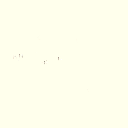 NC(=S)N/N=C/c1c(F)cccc1Cl